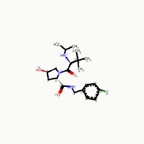 CC(C)N[C@H](C(=O)N1C[C@H](O)C[C@H]1C(=O)NCc1ccc(Cl)cc1)C(C)(C)C